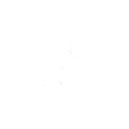 CC1=NC(=O)C2SC=C([N+](=O)[O-])N12